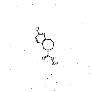 CC(C)(C)OC(=O)N1CCCc2nc(Cl)ccc2C1